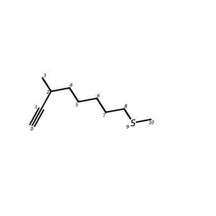 C#CC(C)CCCCCSC